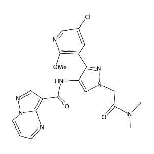 COc1ncc(Cl)cc1-c1nn(CC(=O)N(C)C)cc1NC(=O)c1cnn2cccnc12